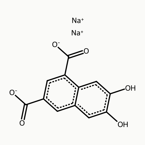 O=C([O-])c1cc(C(=O)[O-])c2cc(O)c(O)cc2c1.[Na+].[Na+]